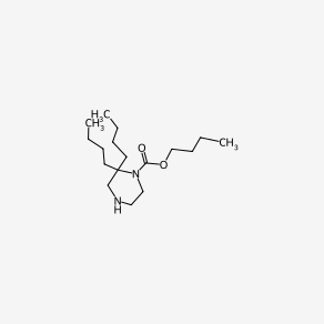 CCCCOC(=O)N1CCNCC1(CCCC)CCCC